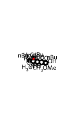 CCCCOc1noc2c1C(=O)[C@@]1(O[Si](C)(C)C(C)(C)C)C(O)=C3C(=O)c4c(c(OC)cc(O)c4OCCCC)C[C@H]3C[C@H]1[C@@H]2N(C)C